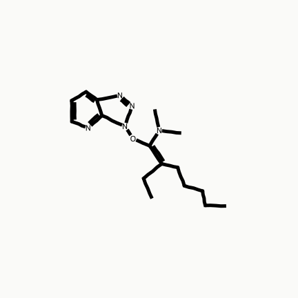 CCCCC/C(CC)=C(/On1nnc2cccnc21)N(C)C